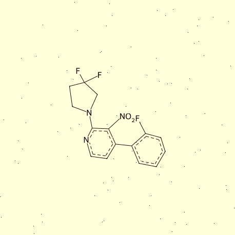 O=[N+]([O-])c1c(-c2ccccc2F)ccnc1N1CCC(F)(F)C1